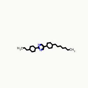 CCCCCCCC1CCC(c2cnc(C3CCC(CCC)CC3)nc2)CC1